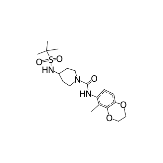 Cc1c(NC(=O)N2CCC(NS(=O)(=O)C(C)(C)C)CC2)ccc2c1OCCO2